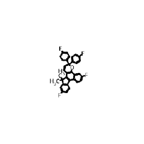 CC1(C)c2cc(F)ccc2-c2c1c1c(c3cc(F)ccc23)OC(C2=CC=C(F)CC2)(c2ccc(F)cc2)C=C1